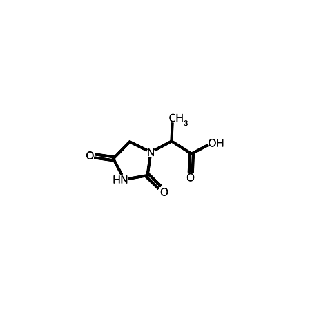 CC(C(=O)O)N1CC(=O)NC1=O